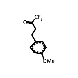 COc1ccc(CCC(=O)C(F)(F)F)cc1